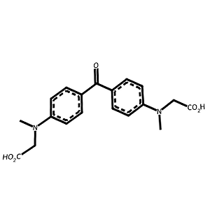 CN(CC(=O)O)c1ccc(C(=O)c2ccc(N(C)CC(=O)O)cc2)cc1